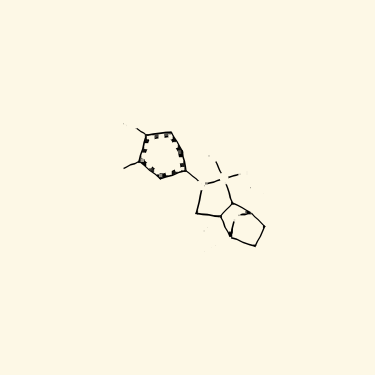 C[C@]12CC[C@](C)(O1)[C@H]1CN(c3ccc(C#N)c(C(F)(F)F)c3)S(O)(O)[C@H]12